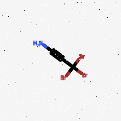 NC#CC(Br)(Br)Br